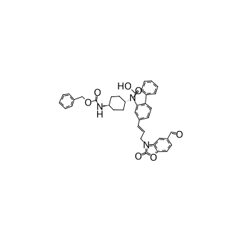 O=Cc1ccc2oc(=O)n(CC=Cc3ccc(-c4ccccc4)c(N(C(=O)O)[C@H]4CC[C@H](NC(=O)OCc5ccccc5)CC4)c3)c2c1